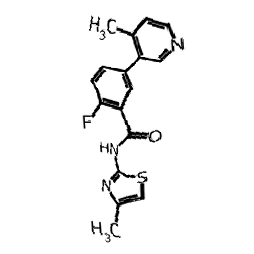 Cc1csc(NC(=O)c2cc(-c3cnccc3C)ccc2F)n1